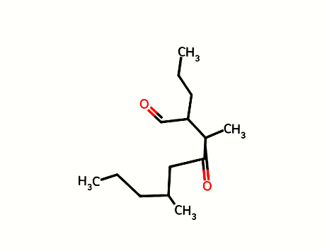 CCCC(C)CC(=O)C(C)C(C=O)CCC